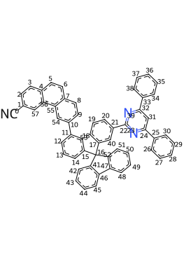 N#Cc1ccc2ccc3ccc(-c4cccc(C5(c6cccc(-c7nc(-c8ccccc8)cc(-c8ccccc8)n7)c6)c6ccccc6-c6ccccc65)c4)cc3c2c1